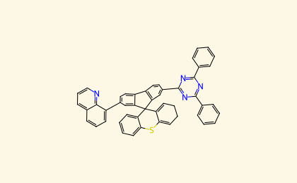 C1=C2Sc3ccccc3C3(C2=CCC1)c1cc(-c2nc(-c4ccccc4)nc(-c4ccccc4)n2)ccc1-c1ccc(-c2cccc4cccnc24)cc13